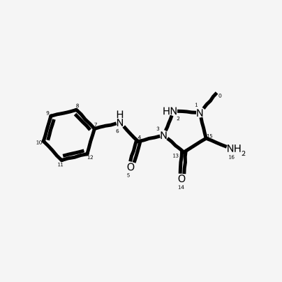 CN1NN(C(=O)Nc2ccccc2)C(=O)C1N